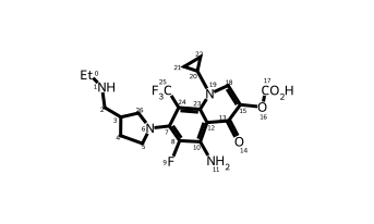 CCNCC1CCN(c2c(F)c(N)c3c(=O)c(OC(=O)O)cn(C4CC4)c3c2C(F)(F)F)C1